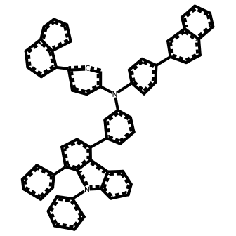 c1ccc(-c2ccc(-c3cccc(N(c4ccc(-c5ccc6ccccc6c5)cc4)c4ccc(-c5cccc6ccccc56)cc4)c3)c3c4ccccc4n(-c4ccccc4)c23)cc1